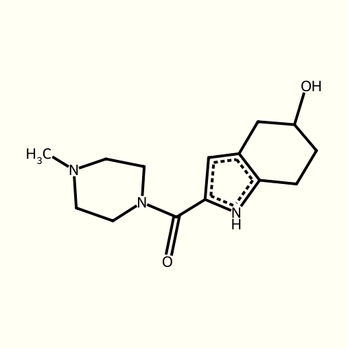 CN1CCN(C(=O)c2cc3c([nH]2)CCC(O)C3)CC1